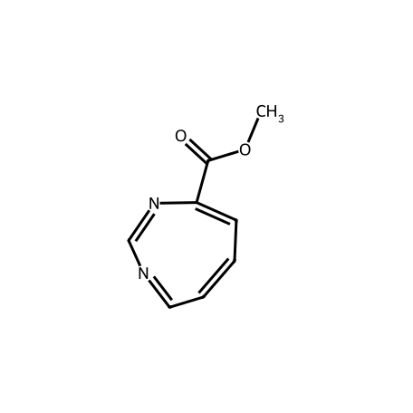 COC(=O)C1=CC=CC=NC=N1